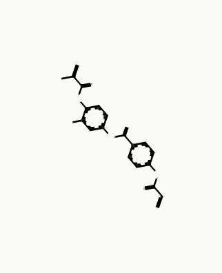 C=CC(=O)Sc1ccc(C(=O)Oc2ccc(SC(=O)C(=C)C)c(C(F)(F)F)c2)cc1